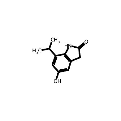 CC(C)c1cc(O)cc2c1NC(=O)C2